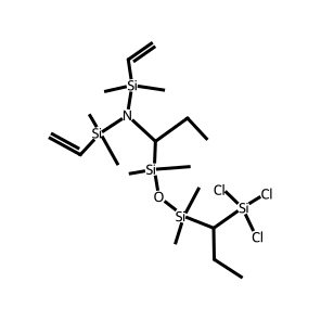 C=C[Si](C)(C)N(C(CC)[Si](C)(C)O[Si](C)(C)C(CC)[Si](Cl)(Cl)Cl)[Si](C)(C)C=C